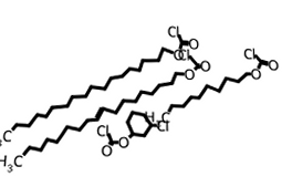 CCCCCCCCC=CCCCCCCCCOC(=O)Cl.CCCCCCCCCCCCCCCCCCOC(=O)Cl.CCCCCCCCCCOC(=O)Cl.O=C(Cl)OC1CCCC(Cl)C1